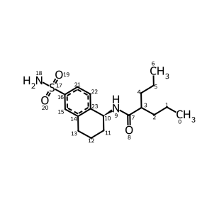 CCCC(CCC)C(=O)N[C@H]1CCCc2cc(S(N)(=O)=O)ccc21